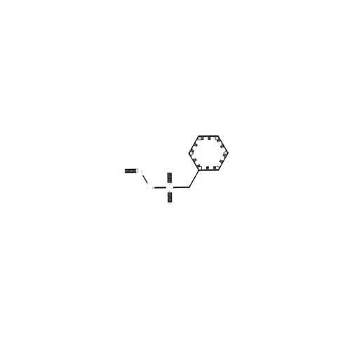 O=NOS(=O)(=O)Cc1ccccc1